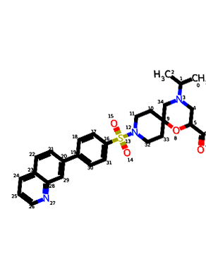 CC(C)N1CC(C=O)OC2(CCN(S(=O)(=O)c3ccc(-c4ccc5cccnc5c4)cc3)CC2)C1